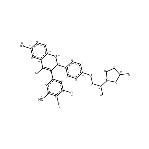 CC1=C(c2cc(O)c(F)c(Cl)c2)C(c2ccc(OCC(C)N3CCC(C)C3)cc2)Oc2ccc(O)cc21